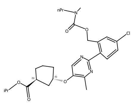 CCCN(C)C(=O)OCc1cc(Cl)ccc1-c1ncc(O[C@H]2CCC[C@H](C(=O)OC(C)C)C2)c(C)n1